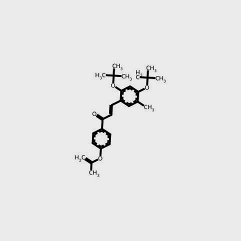 C=C(C)Oc1ccc(C(=O)/C=C/c2cc(C)c(OC(C)(C)C)cc2OC(C)(C)C)cc1